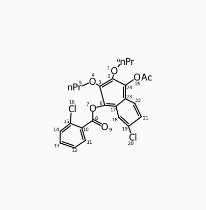 CCCOc1c(OCCC)c(OC(=O)c2ccccc2Cl)c2cc(Cl)ccc2c1OC(C)=O